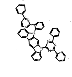 c1ccc(-c2cccc(-c3ccccc3-n3c4ccccc4c4cc5c6ccccc6n(-c6nc(-c7ccccc7)nc(-c7ccccc7)n6)c5cc43)n2)cc1